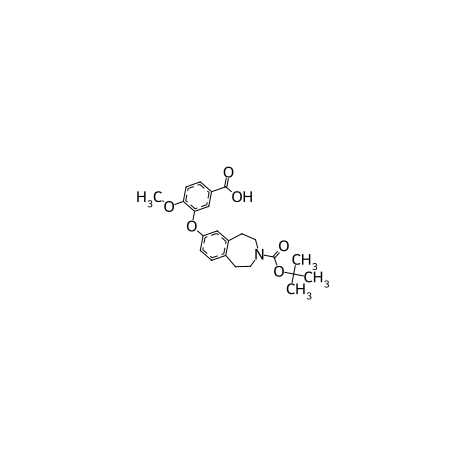 COc1ccc(C(=O)O)cc1Oc1ccc2c(c1)CCN(C(=O)OC(C)(C)C)CC2